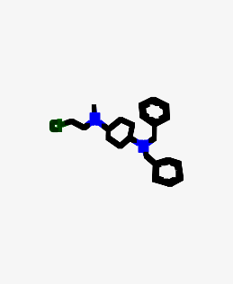 CN(CCCl)C1CCC(N(Cc2ccccc2)Cc2ccccc2)CC1